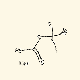 FC(F)(F)OC(=S)S.[LiH]